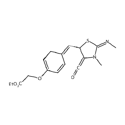 CCOC(=O)COC1=CCC(=CC2SC(=NC)N(C)C2=C=O)C=C1